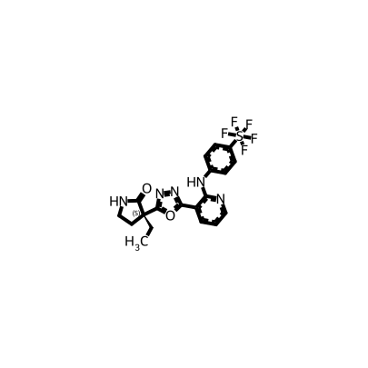 CC[C@@]1(c2nnc(-c3cccnc3Nc3ccc(S(F)(F)(F)(F)F)cc3)o2)CCNC1=O